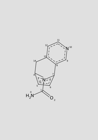 NC(=O)n1c2ccc1-c1cnccc1C2